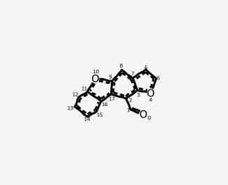 O=Cc1c2occc2cc2oc3ccccc3c12